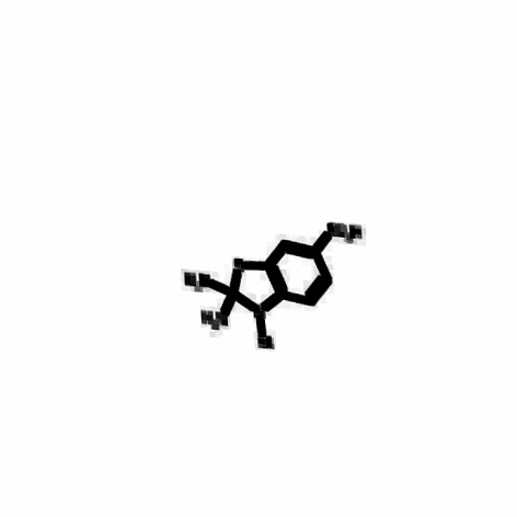 CCN1c2ccc(S(=O)(=O)O)cc2SC1(N)N